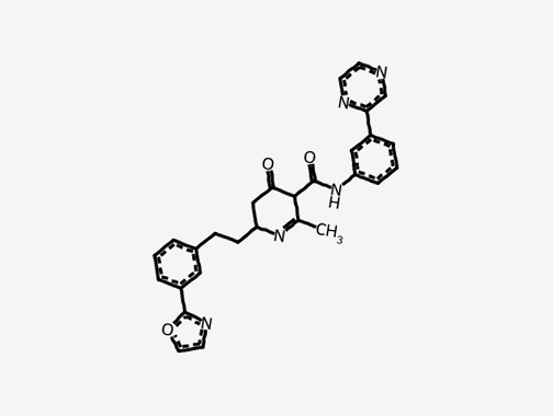 CC1=NC(CCc2cccc(-c3ncco3)c2)CC(=O)C1C(=O)Nc1cccc(-c2cnccn2)c1